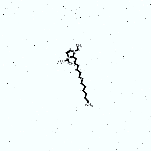 CCCCCCCCCCCCCCC1N(CC)C=CN1C(C)C